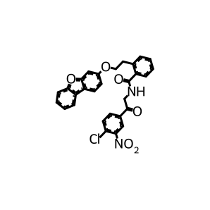 O=C(CNC(=O)c1ccccc1CCOc1ccc2c(c1)oc1ccccc12)c1ccc(Cl)c([N+](=O)[O-])c1